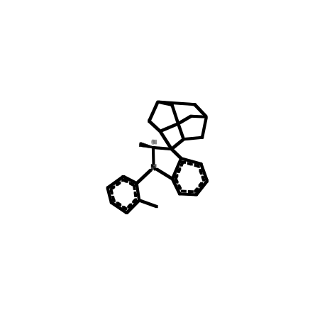 Cc1ccccc1N1c2ccccc2C2(C3CC4CC5CC2C3(C4)C5)[C@@H]1C